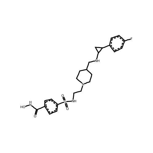 O=C(NO)c1ccc(S(=O)(=O)NCCN2CCC(CNC3CC3c3ccc(F)cc3)CC2)cc1